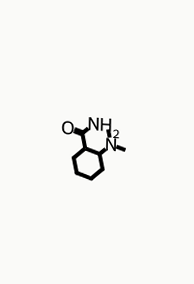 CN(C)C1CCCCC1C(N)=O